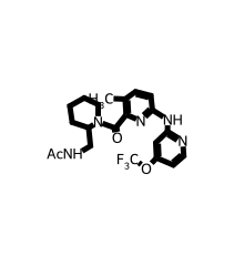 CC(=O)NCC1CCCCN1C(=O)c1nc(Nc2cc(OC(F)(F)F)ccn2)ccc1C